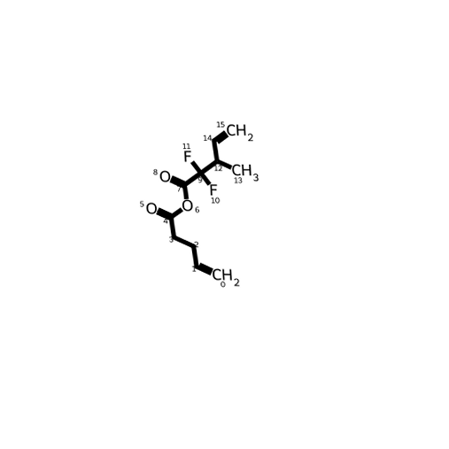 C=CCCC(=O)OC(=O)C(F)(F)C(C)C=C